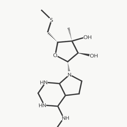 CNC1NCNC2C1CCN2[C@@H]1O[C@H](CSC)[C@@](C)(O)[C@H]1O